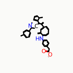 C=C1/C=C(C(=C)C(=C=C/C(=N\C)C2=C=CC(C)=CC=C2)C2=CC=CC2C)\C=C/C=C=C1Nc1ccc(CC(=O)OC)cc1